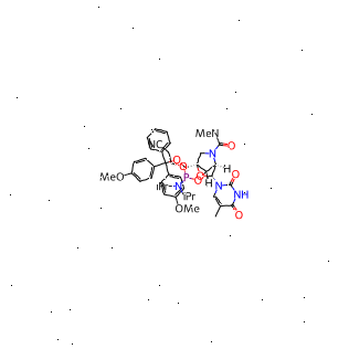 CNC(=O)N1C[C@]2(COC(c3ccccc3)(c3ccc(OC)cc3)c3ccc(OC)cc3)O[C@@H](n3cc(C)c(=O)[nH]c3=O)[C@H]1[C@@H]2OP(OCCC#N)N(C(C)C)C(C)C